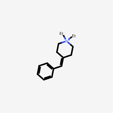 CC[N+]1(CC)CCC(=Cc2ccccc2)CC1